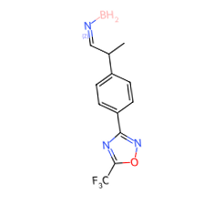 B/N=C\C(C)c1ccc(-c2noc(C(F)(F)F)n2)cc1